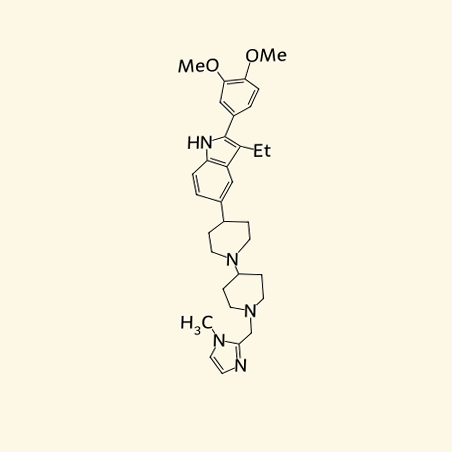 CCc1c(-c2ccc(OC)c(OC)c2)[nH]c2ccc(C3CCN(C4CCN(Cc5nccn5C)CC4)CC3)cc12